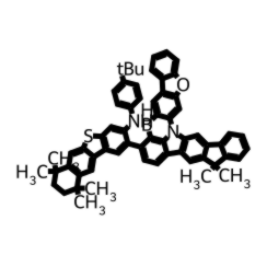 CC(C)(C)c1ccc(Nc2cc3sc4cc5c(cc4c3cc2-c2ccc3c4cc6c(cc4n4c3c2Bc2cc3c(cc2-4)oc2ccccc23)-c2ccccc2C6(C)C)C(C)(C)CCC5(C)C)cc1